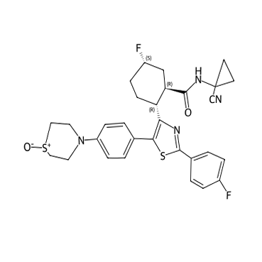 N#CC1(NC(=O)[C@@H]2C[C@@H](F)CC[C@H]2c2nc(-c3ccc(F)cc3)sc2-c2ccc(N3CC[S+]([O-])CC3)cc2)CC1